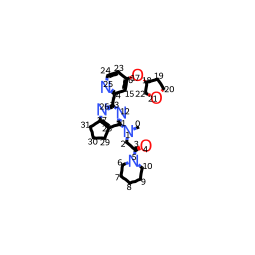 CN(CC(=O)N1CCCCC1)c1nc(-c2cc(O[C@H]3CCOC3)ccn2)nc2c1CCC2